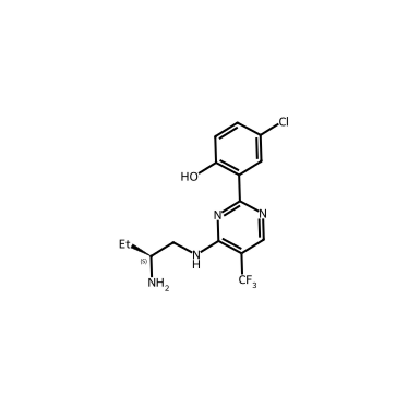 CC[C@H](N)CNc1nc(-c2cc(Cl)ccc2O)ncc1C(F)(F)F